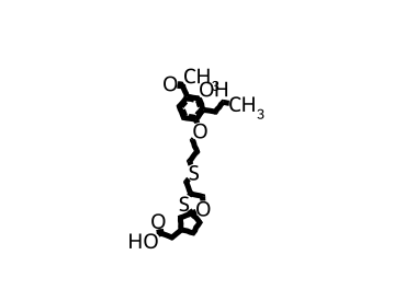 CCCc1c(OCCCSCC2COC3(CCC(CC(=O)O)C3)S2)ccc(C(C)=O)c1O